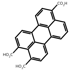 O=C(O)c1ccc2c3ccc(C(=O)O)c4c(C(=O)O)ccc(c5cccc1c52)c43